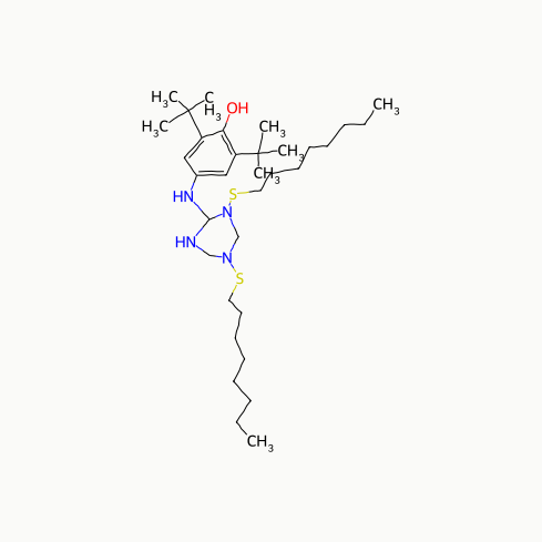 CCCCCCCCSN1CNC(Nc2cc(C(C)(C)C)c(O)c(C(C)(C)C)c2)N(SCCCCCCCC)C1